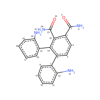 NC(=O)c1ccc(-c2ccccc2N)c(-c2ccccc2N)c1C(N)=O